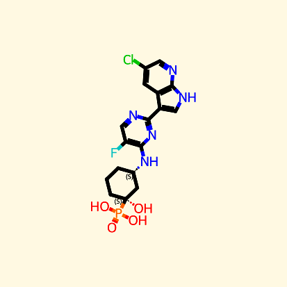 O=P(O)(O)[C@@]1(O)CCC[C@H](Nc2nc(-c3c[nH]c4ncc(Cl)cc34)ncc2F)C1